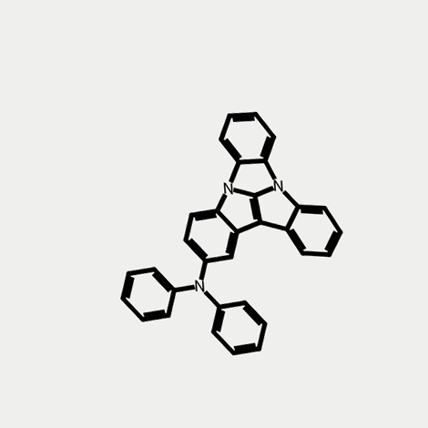 c1ccc(N(c2ccccc2)c2ccc3c(c2)c2c4ccccc4n4c5ccccc5n3c24)cc1